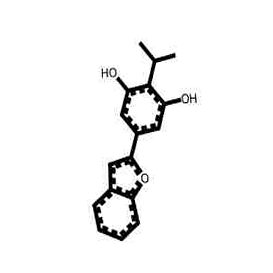 CC(C)c1c(O)cc(-c2cc3ccccc3o2)cc1O